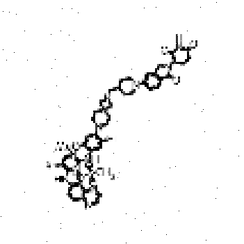 CCc1cc(Nc2ncc(Br)c(Nc3ccc4nccnc4c3NS(C)(=O)=O)n2)c(OC)cc1N1CCC2(CC1)CN(CC1CCN(c3ccc4c(c3)CN(C3CCC(=O)NC3=O)C4=O)CC1)C2